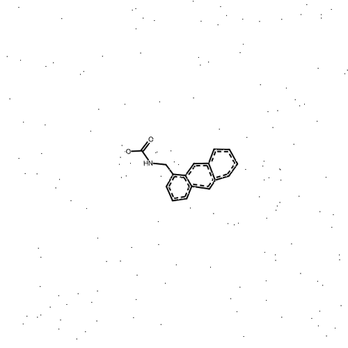 [O]C(=O)NCc1cccc2cc3ccccc3cc12